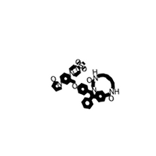 CS(=O)(=O)N1CCN(c2ccc(N3CCCC3=O)cc2COc2ccc(-c3c(C4CCCCC4)c4ccc5cc4n3CC(=O)NCC/C=C\CCNC5=O)cc2)CC1